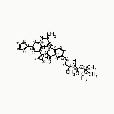 Cc1ccc2c(C3(NC(=O)c4cc(OC[C@H](C)NC(=O)OC(C)(C)C)ccc4C)CC3)cc(-c3cccs3)cc2n1